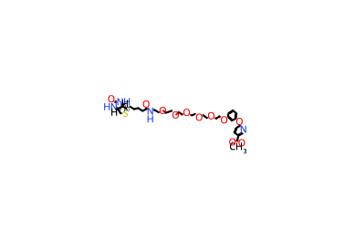 COC(=O)c1ccc(Oc2cccc(OCCOCCOCCOCCOCCOCCNC(=O)CCCC[C@@H]3SC[C@@H]4NC(=O)N[C@@H]43)c2)nc1